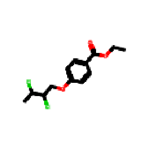 CCOC(=O)c1ccc(OCC(Cl)C(C)Cl)cc1